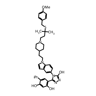 COc1ccc(CSC(C)(C)CCN2CCC(CCn3ccc4cc(-n5c(O)nnc5-c5cc(C(C)C)c(O)cc5O)ccc43)CC2)cc1